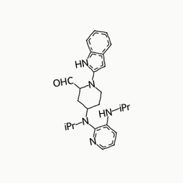 CC(C)Nc1cccnc1N(C(C)C)C1CCN(c2cc3ccccc3[nH]2)C(C=O)C1